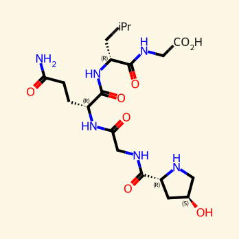 CC(C)C[C@@H](NC(=O)[C@@H](CCC(N)=O)NC(=O)CNC(=O)[C@H]1C[C@H](O)CN1)C(=O)NCC(=O)O